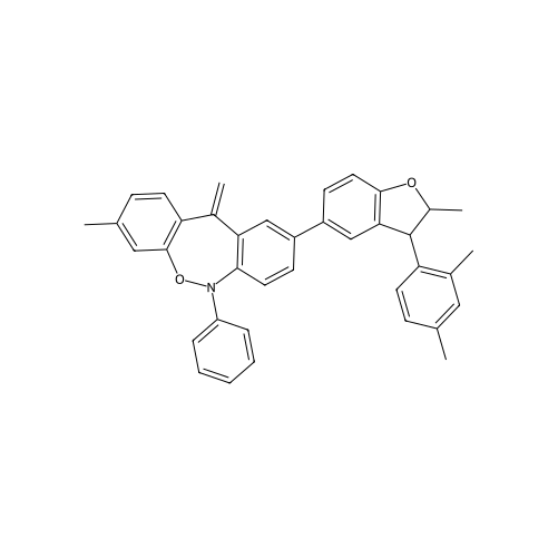 C=C1c2ccc(C)cc2ON(c2ccccc2)c2ccc(-c3ccc4c(c3)C(c3ccc(C)cc3C)C(C)O4)cc21